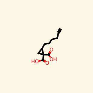 C#CCCCCC1CC1(C(=O)O)C(=O)O